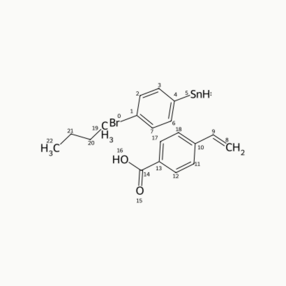 Brc1cc[c]([SnH])cc1.C=Cc1ccc(C(=O)O)cc1.CCCC